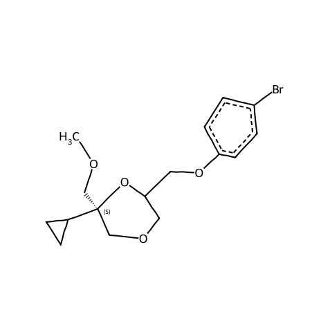 COC[C@@]1(C2CC2)COCC(COc2ccc(Br)cc2)O1